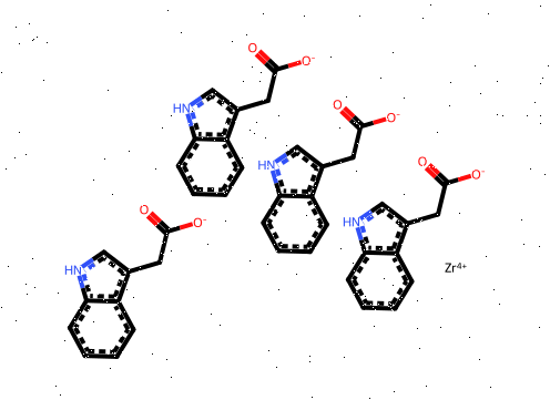 O=C([O-])Cc1c[nH]c2ccccc12.O=C([O-])Cc1c[nH]c2ccccc12.O=C([O-])Cc1c[nH]c2ccccc12.O=C([O-])Cc1c[nH]c2ccccc12.[Zr+4]